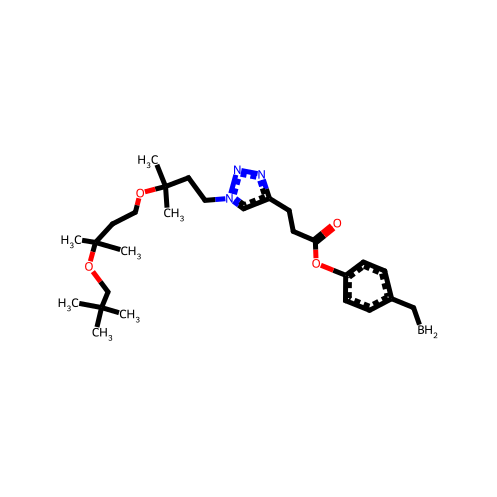 BCc1ccc(OC(=O)CCc2cn(CCC(C)(C)OCCC(C)(C)OCC(C)(C)C)nn2)cc1